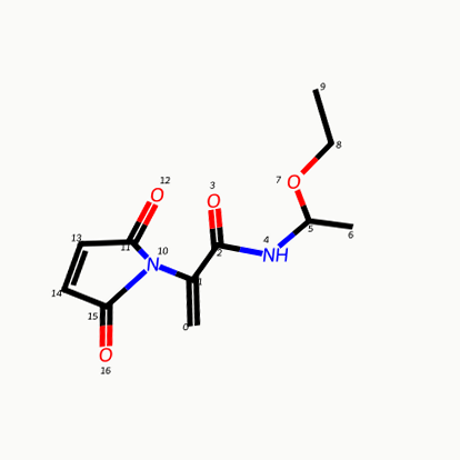 C=C(C(=O)NC(C)OCC)N1C(=O)C=CC1=O